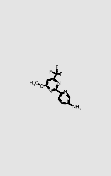 COc1cc(C(F)(F)F)nc(-c2ccc(N)cn2)n1